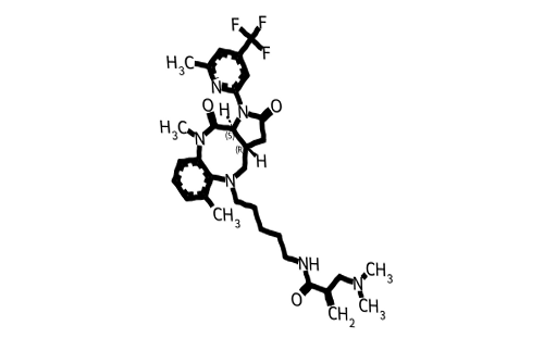 C=C(CN(C)C)C(=O)NCCCCCN1C[C@H]2CC(=O)N(c3cc(C(F)(F)F)cc(C)n3)[C@@H]2C(=O)N(C)c2cccc(C)c21